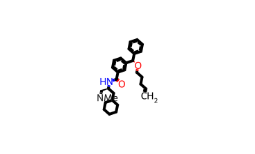 C=CCCCO[C@@H](c1ccccc1)c1cccc(C(=O)N[C@H](CNC)CC2CCCCC2)c1